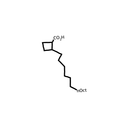 CCCCCCCCCCCCCCC1CCC1C(=O)O